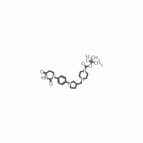 CC(C)(C)OC(=O)N1CCN(CC2CCN(c3ccc(N4CCC(=O)NC4=O)cc3)C2)CC1